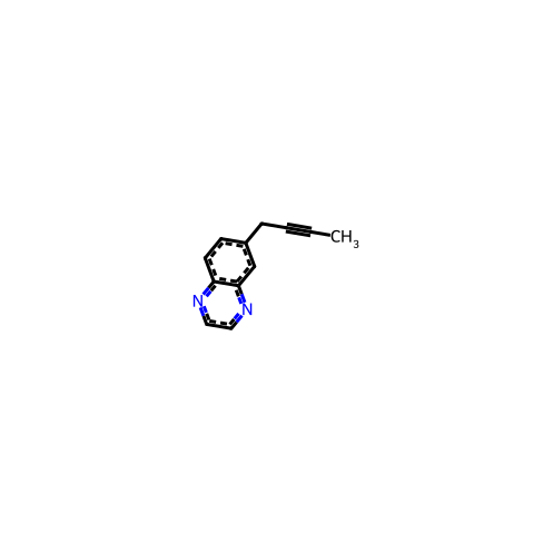 CC#CCc1ccc2nccnc2c1